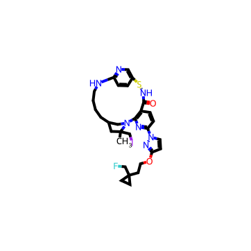 CC1(CI)CC2CCCCNc3ccc(cn3)SNC(=O)c3ccc(-n4ccc(OCCC5(CF)CC5)n4)nc3N1C2